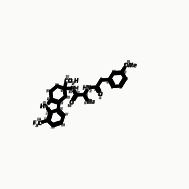 CCC(C)C(NC(=O)Cc1cccc(OC)c1)C(=O)NC1(C(=O)O)CCc2[nH]c3c(C(F)(F)F)cccc3c2C1